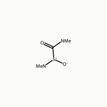 CNC(=O)[S+]([O-])NC